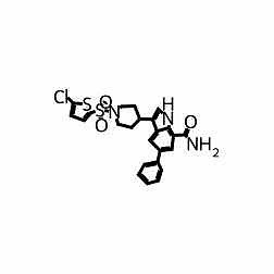 NC(=O)c1cc(-c2ccccc2)cc2c(C3CCN(S(=O)(=O)c4ccc(Cl)s4)CC3)c[nH]c12